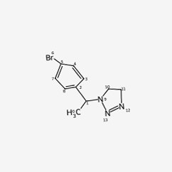 CC(c1ccc(Br)cc1)N1CCN=N1